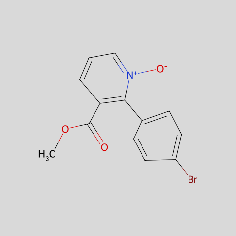 COC(=O)c1ccc[n+]([O-])c1-c1ccc(Br)cc1